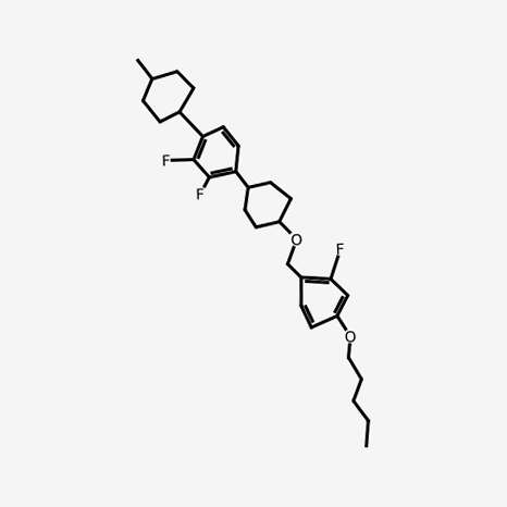 CCCCCOc1ccc(COC2CCC(c3ccc(C4CCC(C)CC4)c(F)c3F)CC2)c(F)c1